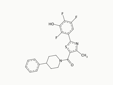 Cc1nc(-c2cc(F)c(F)c(O)c2F)sc1C(=O)N1CCC(c2ccccc2)CC1